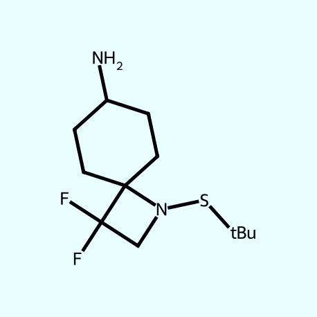 CC(C)(C)SN1CC(F)(F)C12CCC(N)CC2